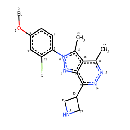 CCOc1ccc(-n2nc3c(C4CNC4)nnc(C)c3c2C)c(F)c1